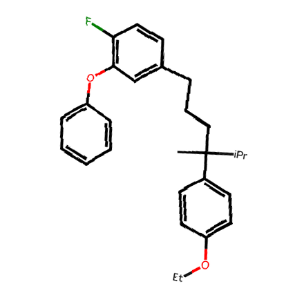 CCOc1ccc(C(C)(CCCc2ccc(F)c(Oc3ccccc3)c2)C(C)C)cc1